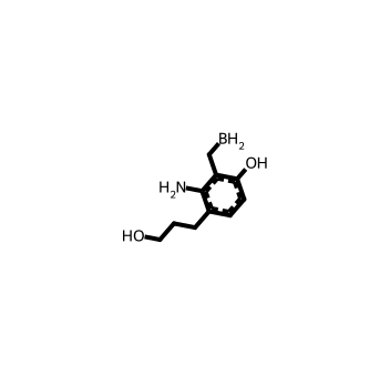 BCc1c(O)ccc(CCCO)c1N